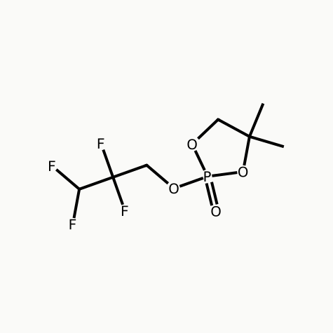 CC1(C)COP(=O)(OCC(F)(F)C(F)F)O1